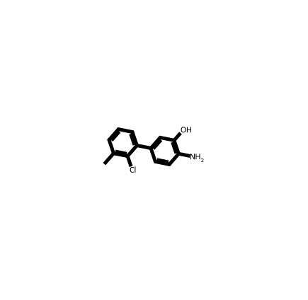 Cc1cccc(-c2ccc(N)c(O)c2)c1Cl